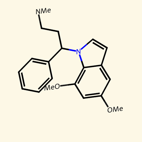 CNCCC(c1ccccc1)n1ccc2cc(OC)cc(OC)c21